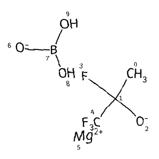 CC([O-])(F)C(F)(F)F.[Mg+2].[O-]B(O)O